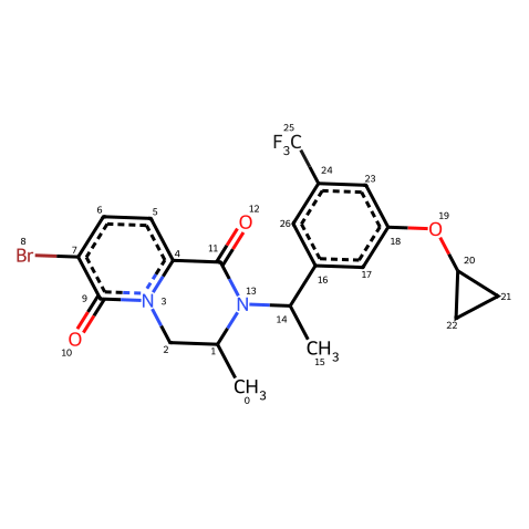 CC1Cn2c(ccc(Br)c2=O)C(=O)N1C(C)c1cc(OC2CC2)cc(C(F)(F)F)c1